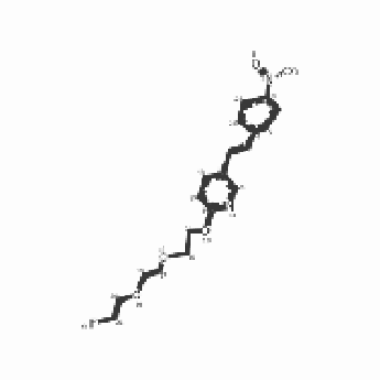 O=[N+]([O-])c1ccc(C=Cc2ccc(OCCOCCOCCF)nc2)cc1